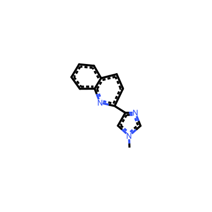 Cn1cnc(-c2ccc3ccccc3n2)c1